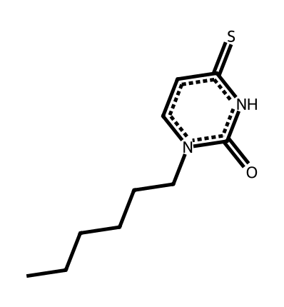 CCCCCCn1ccc(=S)[nH]c1=O